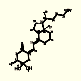 C=C1CC(F)C(O)(O)C/C1=C/C=C1CCC[C@@]2(C)C1CC[C@@H]2[C@H](C)CCCC(C)C